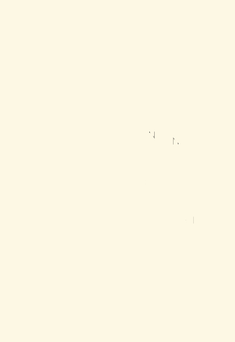 CCc1nnc(C2CCCCCCC2)o1